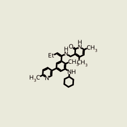 CC/C=C(/NCc1c(C)cc(C)[nH]c1=O)c1cc(-c2ccc(C)nc2)cc(NC2CCCCC2)c1C